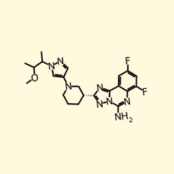 COC(C)C(C)n1cc(N2CCC[C@@H](c3nc4c5cc(F)cc(F)c5nc(N)n4n3)C2)cn1